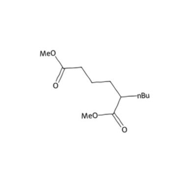 CCCCC(CCCC(=O)OC)C(=O)OC